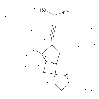 CCCC(O)C#CC1CC2C(CC23OCCO3)C1O